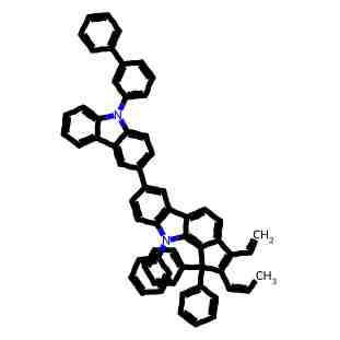 C=CC1=C(/C=C\C)C(c2ccccc2)(c2ccccc2)c2c1ccc1c3cc(-c4ccc5c(c4)c4ccccc4n5-c4cccc(-c5ccccc5)c4)ccc3n(-c3ccccc3)c21